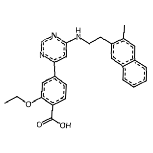 CCOc1cc(-c2cc(NCCc3cc4ccccc4cc3C)ncn2)ccc1C(=O)O